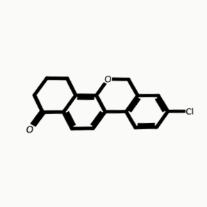 O=C1CCCc2c1ccc1c2OCc2cc(Cl)ccc2-1